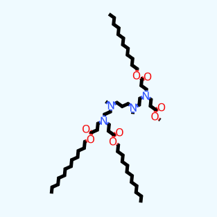 CCCCCCCCCCCCOC(=O)CCN(CCC(=O)OC)CCN(C)CCCN(C)CCN(CCC(=O)OCCCCCCCCCCCC)CCC(=O)OCCCCCCCCCCCC